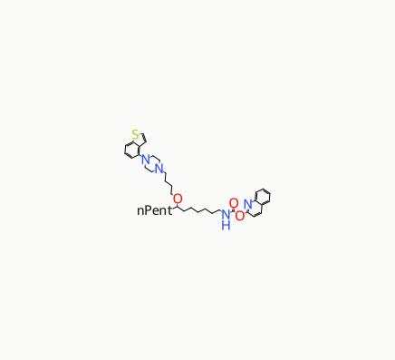 CCCCCC(CCCCCCNC(=O)Oc1ccc2ccccc2n1)OCCCCN1CCN(c2cccc3sccc23)CC1